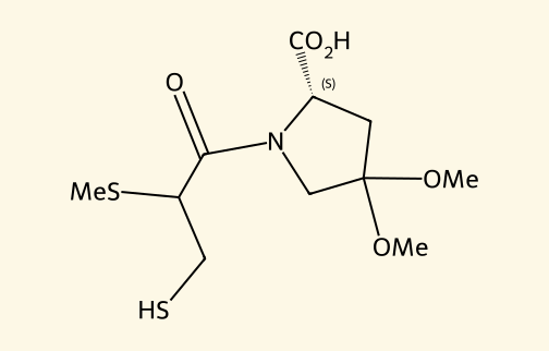 COC1(OC)C[C@@H](C(=O)O)N(C(=O)C(CS)SC)C1